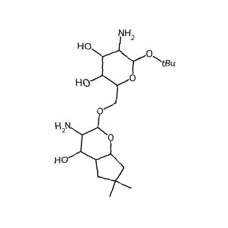 CC1(C)CC2OC(OCC3OC(OC(C)(C)C)C(N)C(O)C3O)C(N)C(O)C2C1